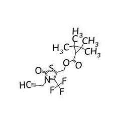 C#CCn1c(C(F)(F)F)c(COC(=O)C2C(C)(C)C2(C)C)sc1=O